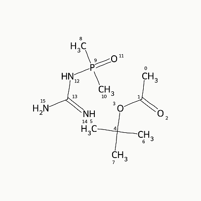 CC(=O)OC(C)(C)C.CP(C)(=O)NC(=N)N